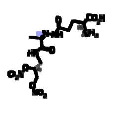 C/C(=N/NC(=O)CC[C@H](N)C(=O)O)C(=O)NC[C@H](CO[N+](=O)[O-])O[N+](=O)[O-]